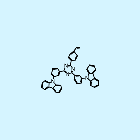 C=Cc1ccc(-c2nc(-c3cccc(-n4c5ccccc5c5ccccc54)c3)nc(-c3cccc(-n4c5ccccc5c5ccccc54)c3)n2)cc1